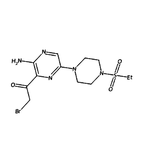 CCS(=O)(=O)N1CCN(c2cnc(N)c(C(=O)CBr)n2)CC1